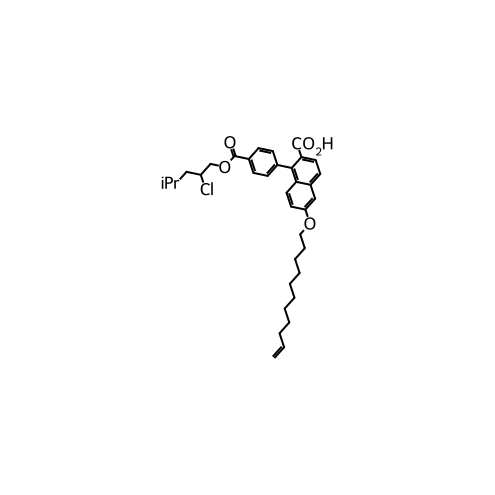 C=CCCCCCCCCCOc1ccc2c(-c3ccc(C(=O)OCC(Cl)CC(C)C)cc3)c(C(=O)O)ccc2c1